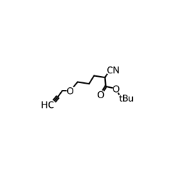 C#CCOCCCC(C#N)C(=O)OC(C)(C)C